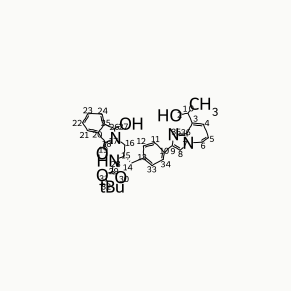 CC(O)c1cccn2cc(-c3ccc(C[C@@H](CN4C(=O)c5ccccc5C4O)NC(=O)OC(C)(C)C)cc3)nc12